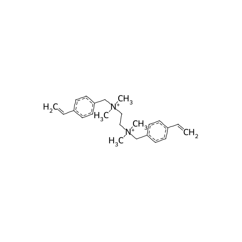 C=Cc1ccc(C[N+](C)(C)CC[N+](C)(C)Cc2ccc(C=C)cc2)cc1